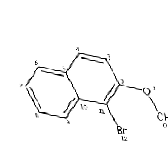 COc1[c]cc2ccccc2c1Br